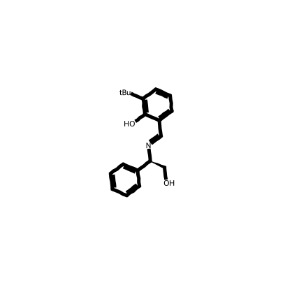 CC(C)(C)c1cccc(C=N[C@@H](CO)c2ccccc2)c1O